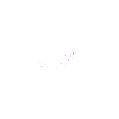 CP(=O)([O-])O[n+]1cccc(-c2cc(Cc3ccc(OCc4ccccc4)cc3)no2)c1N